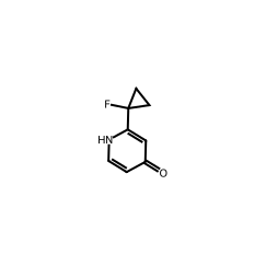 O=c1cc[nH]c(C2(F)CC2)c1